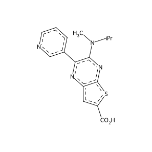 CC(C)N(C)c1nc2sc(C(=O)O)cc2nc1-c1cccnc1